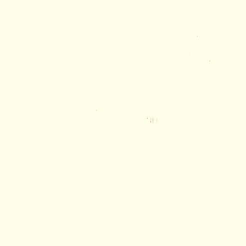 Cc1ccc(C)c(C2=C(OCc3ccccc3)C(CC3CCS(=O)(=O)CC3)NC2=O)c1